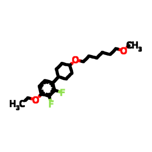 CCOc1ccc(C2CCC(OCCCCCCOC)CC2)c(F)c1F